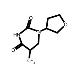 O=C1NC(=O)N(C2CCOC2)CC1C(F)(F)F